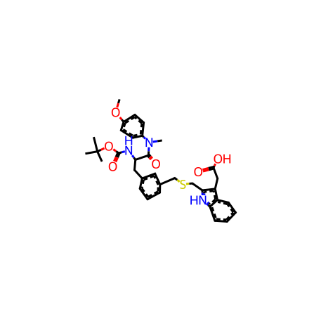 COc1ccc(N(C)C(=O)C(Cc2cccc(CSCc3[nH]c4ccccc4c3CC(=O)O)c2)NC(=O)OC(C)(C)C)cc1